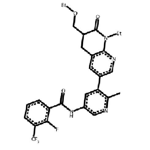 CCOCC1Cc2cc(-c3cc(NC(=O)c4cccc(C(F)(F)F)c4F)cnc3C)cnc2N(CC)C1=O